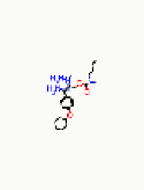 CCCCN(C)C(=O)OC/C(=C(/N)c1ccc(OC2CCCCC2)cc1)N(C)N